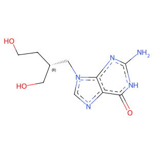 Nc1nc2c(ncn2C[C@H](CO)CCO)c(=O)[nH]1